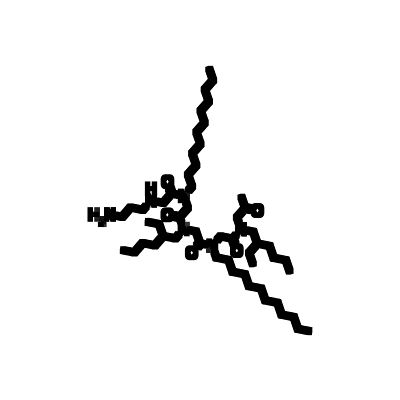 CCCCCCCCCCCCN(CC(=O)N(CC(=O)N(CCCCCCCCCCCC)CC(=O)N(CC(C)=O)CC(CC)CCCC)CC(CC)CCCC)C(=O)CNCCCN